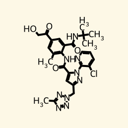 Cc1nnn(Cc2cc(C(=O)Nc3c(C)cc(C(=O)CO)cc3C(=O)NC(C)(C)C)n(-c3ncccc3Cl)n2)n1